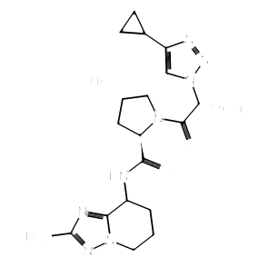 Cc1nc2n(n1)CCCC2NC(=O)[C@H]1C[C@H](O)CN1C(=O)[C@H](n1cc(C2CC2)nn1)C(C)(C)C